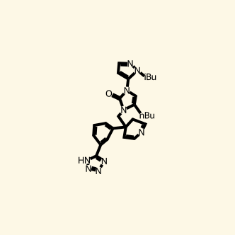 CCCCc1cn(-c2ccnn2C(C)CC)c(=O)n1CC1(c2cccc(-c3nnn[nH]3)c2)C=CN=CC1